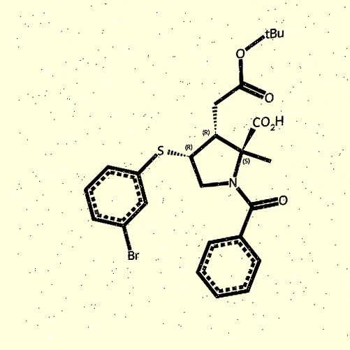 CC(C)(C)OC(=O)C[C@H]1[C@@H](Sc2cccc(Br)c2)CN(C(=O)c2ccccc2)[C@]1(C)C(=O)O